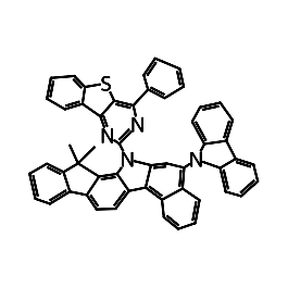 CC1(C)c2ccccc2-c2ccc3c4c5ccccc5c(-n5c6ccccc6c6ccccc65)cc4n(-c4nc(-c5ccccc5)c5sc6ccccc6c5n4)c3c21